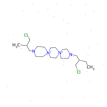 CCC(CCl)CN1CC[N+]2(CC1)CC[N+]1(CCN(CC(C)CCl)CC1)CC2